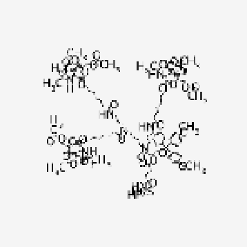 COc1ccc(C(OCC(OC(=O)CCC(=O)N[SH](=P)=S)C(=O)N(CCCCN(CCCNC(=O)CCCCCCO[C@@H]2OC(COC(C)=O)[C@H](OC(C)=O)[C@H](C)C2NC(C)=O)C(=O)CCCCCCO[C@@H]2OC(COC(C)=O)[C@H](OC(C)=O)[C@H](C)C2NC(C)=O)CCCNC(=O)CCCCCCO[C@@H]2OC(COC(C)=O)[C@H](OC(C)=O)[C@H](C)C2NC(C)=O)(c2ccccc2)c2ccc(OC)cc2)cc1